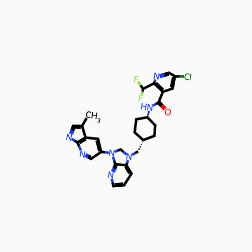 CC1=C=Nc2ncc(N3CN(C[C@H]4CC[C@H](NC(=O)c5cc(Cl)cnc5C(F)F)CC4)c4cccnc43)cc21